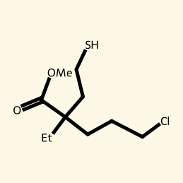 CCC(CCS)(CCCCl)C(=O)OC